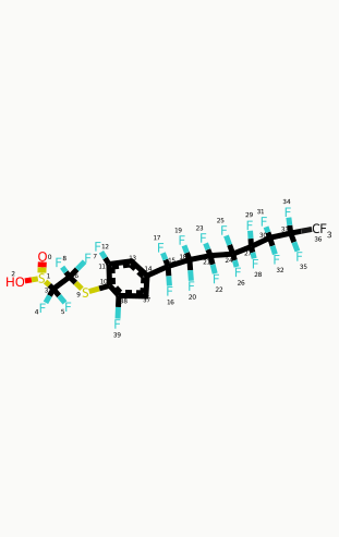 O=S(O)C(F)(F)C(F)(F)Sc1c(F)cc(C(F)(F)C(F)(F)C(F)(F)C(F)(F)C(F)(F)C(F)(F)C(F)(F)C(F)(F)F)cc1F